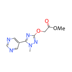 COC(=O)COc1nc(-c2cncnc2)n(C)n1